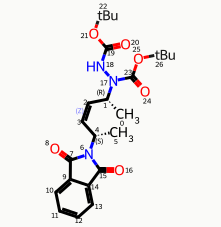 C[C@H](/C=C\[C@H](C)N1C(=O)c2ccccc2C1=O)N(NC(=O)OC(C)(C)C)C(=O)OC(C)(C)C